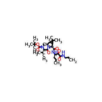 C=CCNC(=O)C(=O)[C@@H](CCC)NC(=O)[C@@H]1C2C(CN1C(=O)[C@H](C(C)C)N(C)C(=O)OC(C)(C)C)C2(C)C